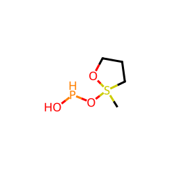 CS1(OPO)CCCO1